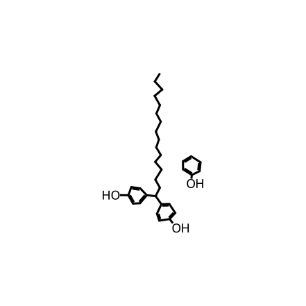 CCCCCCCCCCCCCCCC(c1ccc(O)cc1)c1ccc(O)cc1.Oc1ccccc1